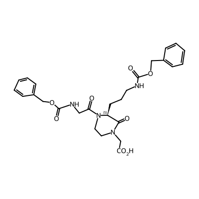 O=C(O)CN1CCN(C(=O)CNC(=O)OCc2ccccc2)[C@@H](CCCNC(=O)OCc2ccccc2)C1=O